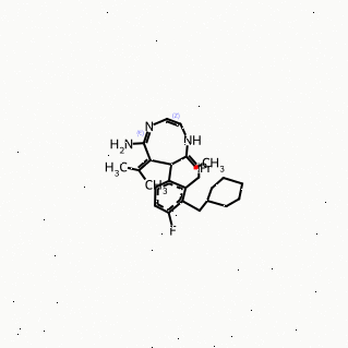 CC=C1N/C=C\N=C(\N)C(=C(C)C)C1c1ccc(F)c(CC2CCCCC2)c1CC(C)C